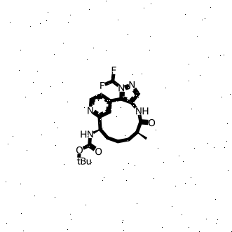 C[C@H]1CCC[C@@H](NC(=O)OC(C)(C)C)c2cc(ccn2)-c2c(cnn2C(F)F)NC1=O